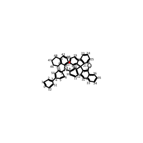 c1ccc(-c2ccc(N(c3cccc(C4(c5ccccc5)c5ccccc5Oc5c4ccc4ccccc54)c3)c3cccc4c3CCCC4)cc2)cc1